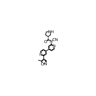 Cc1oncc1-c1cc(-c2ccnc(N(C#N)C(=O)[C@H]3CCNC3)c2)ccn1